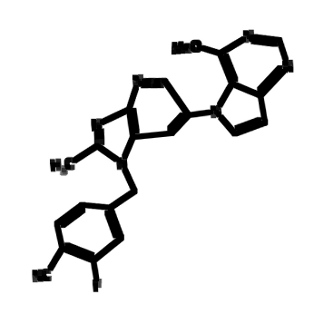 COc1ncnc2ccn(-c3cnc4nc(C)n(Cc5ccc(C#N)c(F)c5)c4c3)c12